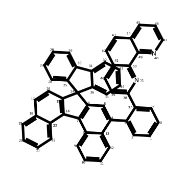 c1ccc(-c2cc3c(c4ccccc24)-c2c(ccc4ccccc24)C32c3ccccc3-c3ccccc32)c(-c2ccc3ccc4cccnc4c3n2)c1